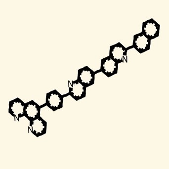 c1ccc2cc(-c3ccc4cc(-c5ccc6nc(-c7ccc(-c8cc9cccnc9c9ncccc89)cc7)ccc6c5)ccc4n3)ccc2c1